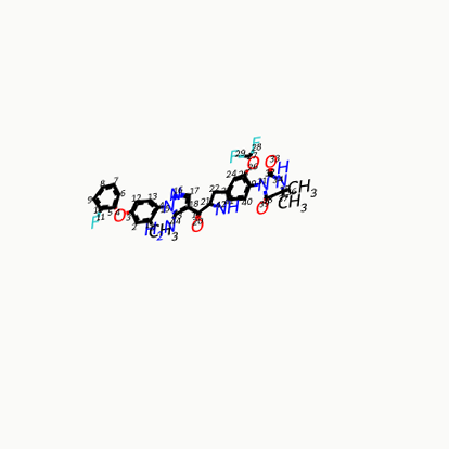 Cc1cc(Oc2ccccc2F)ccc1-n1ncc(C(=O)C2Cc3cc(OC(F)F)c(N4C(=O)NC(C)(C)C4=O)cc3N2)c1N